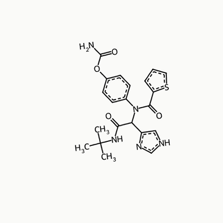 CC(C)(C)NC(=O)C(c1c[nH]cn1)N(C(=O)c1cccs1)c1ccc(OC(N)=O)cc1